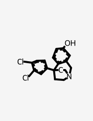 Oc1ccc2c(c1)CN1CCC2(c2ccc(Cl)c(Cl)c2)CC1